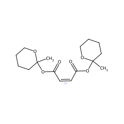 CC1(OC(=O)/C=C\C(=O)OC2(C)CCCCO2)CCCCO1